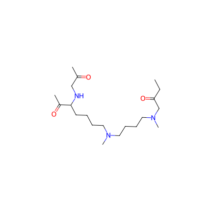 CCC(=O)CN(C)CCCCN(C)CCCCC(NCC(C)=O)C(C)=O